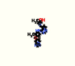 Cc1cc(Nc2ncnn3ccc(CN4CC(C)(O)C4)c23)ccc1Oc1ccn2ncnc2c1